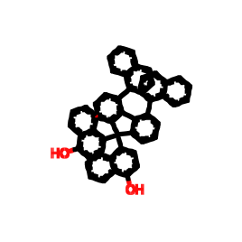 Oc1ccc(C2(c3ccc(O)c4ccccc34)c3cccc(-c4cccc5ccccc45)c3-c3c(-c4cccc5ccccc45)cccc32)c2ccccc12